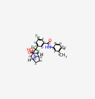 Cc1cc(NC(=O)c2cc(F)cc(C(F)(F)C(=O)N3[C@@H]4CC[C@H]3C[C@H](O)C4)c2)ccc1F